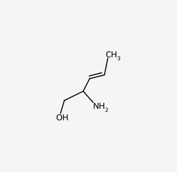 CC=CC(N)CO